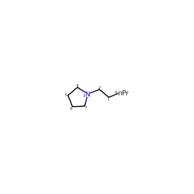 CCCCCN1CCCC1